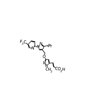 CC(C)c1nn(-c2ccc(C(F)(F)F)cn2)cc1COc1cc(C=CC(=O)O)n(C)n1